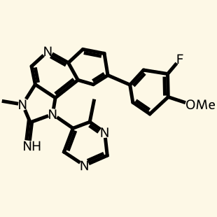 COc1ccc(-c2ccc3ncc4c(c3c2)n(-c2cncnc2C)c(=N)n4C)cc1F